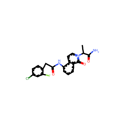 CC(C(N)=O)n1ccc2c(NC(=O)Cc3ccc(Cl)cc3F)cccc2c1=O